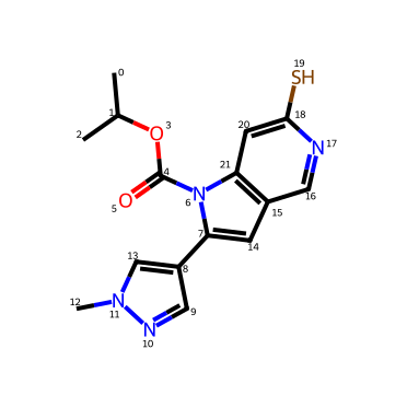 CC(C)OC(=O)n1c(-c2cnn(C)c2)cc2cnc(S)cc21